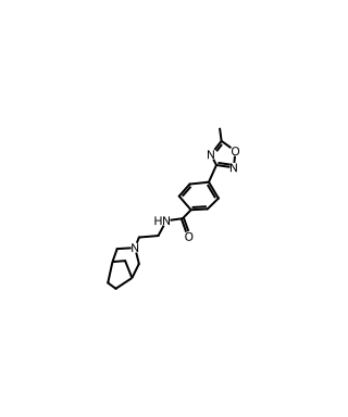 Cc1nc(-c2ccc(C(=O)NCCN3CC4CCC(C4)C3)cc2)no1